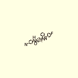 C[C@H]1CN(C(=O)Nc2ccc(C#N)cc2)CCN1c1nnc(-c2ccc(F)cc2)c2ccccc12